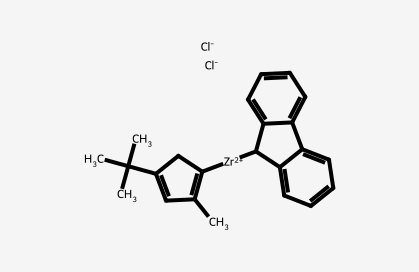 CC1=[C]([Zr+2][CH]2c3ccccc3-c3ccccc32)CC(C(C)(C)C)=C1.[Cl-].[Cl-]